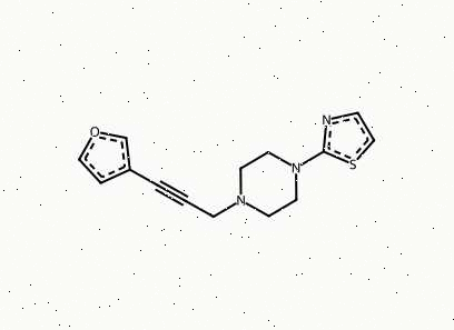 C(#Cc1ccoc1)CN1CCN(c2nccs2)CC1